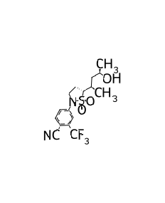 C[C@H](C[C@@H](C)O)[C@H]1CCN(c2ccc(C#N)c(C(F)(F)F)c2)S1(=O)=O